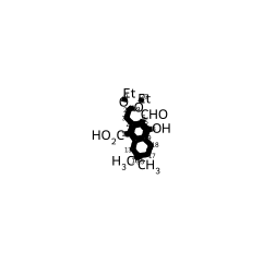 CCOC(Cc1c(C=O)c(O)c2c(c1C(=O)O)CC(C)(C)CC2)OCC